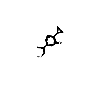 [CH2]C(CO)c1ccc(C2CC2)c(Br)c1